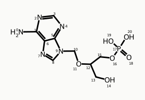 Nc1ncnc2c1ncn2COC(CO)COP(=O)(O)O